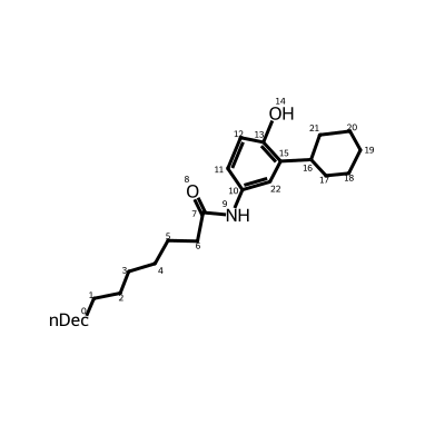 CCCCCCCCCCCCCCCCC(=O)Nc1ccc(O)c(C2CCCCC2)c1